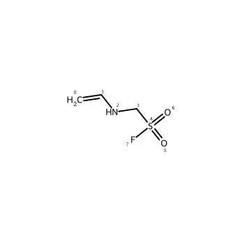 C=CNCS(=O)(=O)F